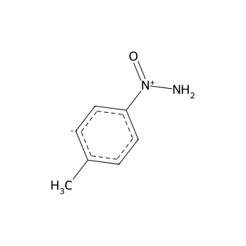 Cc1[c]cc([N+](N)=O)cc1